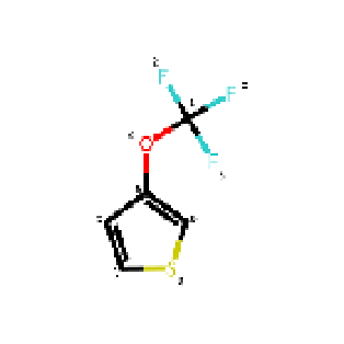 FC(F)(F)Oc1c[c]sc1